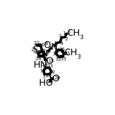 CCCCCCN(C(=O)Cn1c(C(=O)N[C@H]2CC[C@H](C(=O)O)CC2)cc2sccc21)c1cccc(C)c1